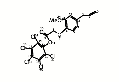 C=CCc1ccc(OCC(=O)Oc2c(Cl)c(Cl)c(Cl)c(Cl)c2Cl)c(OC)c1